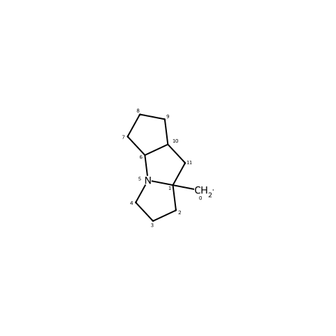 [CH2]C12CCCN1C1CCCC1C2